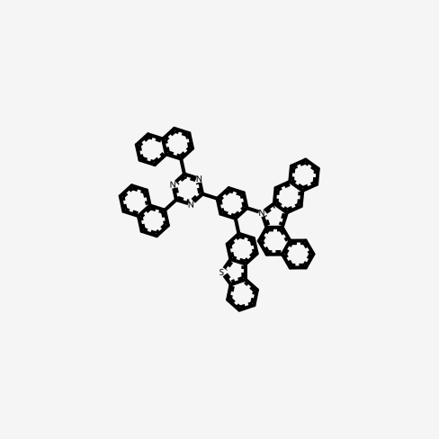 c1ccc2cc3c(cc2c1)c1c2ccccc2ccc1n3-c1ccc(-c2nc(-c3cccc4ccccc34)nc(-c3cccc4ccccc34)n2)cc1-c1ccc2c(c1)sc1ccccc12